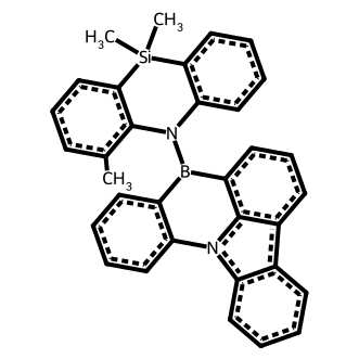 Cc1cccc2c1N(B1c3ccccc3-n3c4ccccc4c4cccc1c43)c1ccccc1[Si]2(C)C